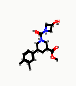 COC(=O)C1CC(c2ccc(C)c(C)c2)CN(C(=O)N2CC(O)C2)C1